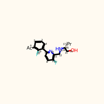 CC(=O)c1cccc(-c2ccc(F)c(CN[C@@H](CO)C(C)C)n2)c1F